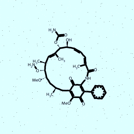 COC1=C2C[C@@H](C)C[C@H](OC)[C@H](ON)[C@@H](C)/C=C(\C)[C@H](OC(N)=O)[C@@H](O)/C=C\C=C(/C)C(=O)NC(=C(c3ccccc3)C1=O)C2=O